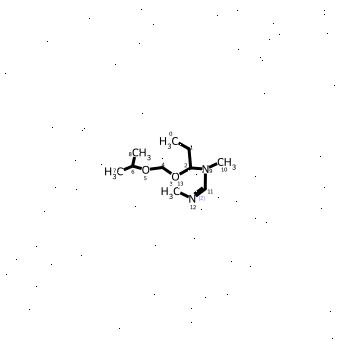 CCC(OCOC(C)C)N(C)/C=N\C